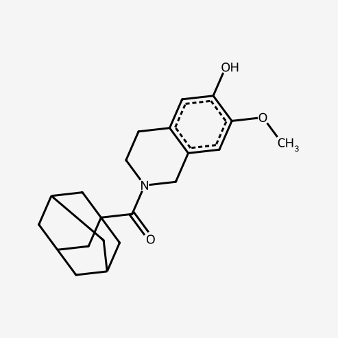 COc1cc2c(cc1O)CCN(C(=O)C13CC4CC(CC(C4)C1)C3)C2